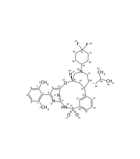 Cc1cccc(C)c1-c1cc2nc(n1)NS(=O)(=O)c1cccc(c1)C1C[C@@H](CN(C3CCC(F)(F)CC3)C[C@@H]1CC(C)C)O2